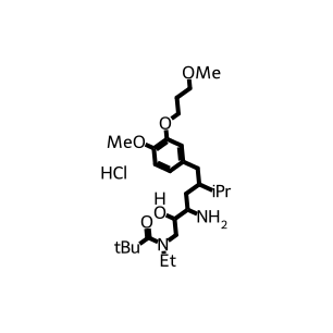 CCN(CC(O)C(N)CC(Cc1ccc(OC)c(OCCCOC)c1)C(C)C)C(=O)C(C)(C)C.Cl